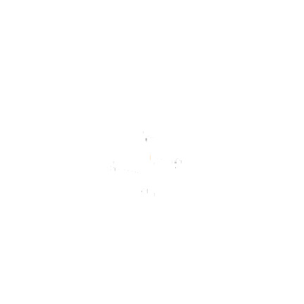 CCCC(C)P(CCC)C(C)C